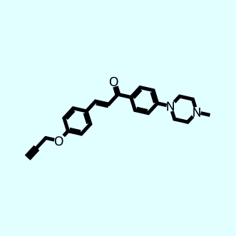 C#CCOc1ccc(/C=C/C(=O)c2ccc(N3CCN(C)CC3)cc2)cc1